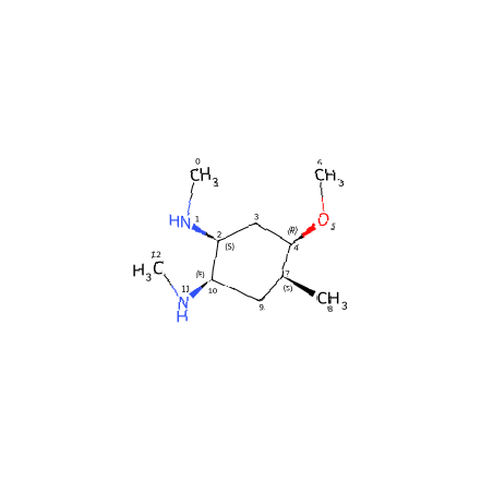 CN[C@H]1C[C@@H](OC)[C@@H](C)C[C@H]1NC